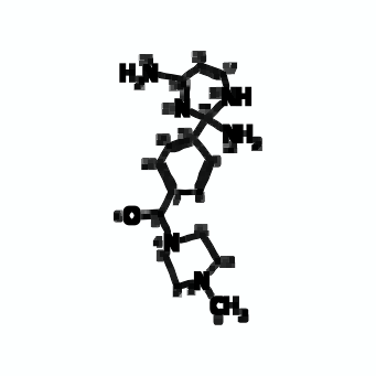 CN1CCN(C(=O)c2ccc(C3(N)N=C(N)C=CN3)cc2)CC1